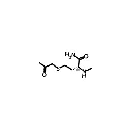 CN[C@H](CCSCC(C)=O)C(N)=O